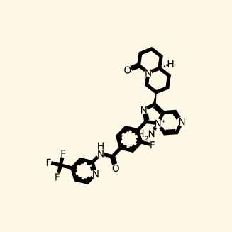 N[N+]12C=CN=CC1=C([C@@H]1CC[C@@H]3CCCC(=O)N3C1)N=C2c1ccc(C(=O)Nc2cc(C(F)(F)F)ccn2)cc1F